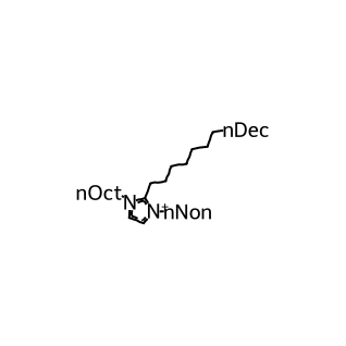 CCCCCCCCCCCCCCCCCc1n(CCCCCCCC)cc[n+]1CCCCCCCCC